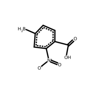 Bc1ccc(C(=O)O)c([N+](=O)[O-])c1